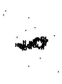 C[C@H]1NC(=O)[C@@H]2C[C@H]2CCCCCn2c(-c3nc4cc(C(=O)N[C@H]5CNCC[C@@H]5F)cnc4n3C)cc3ccc1nc32